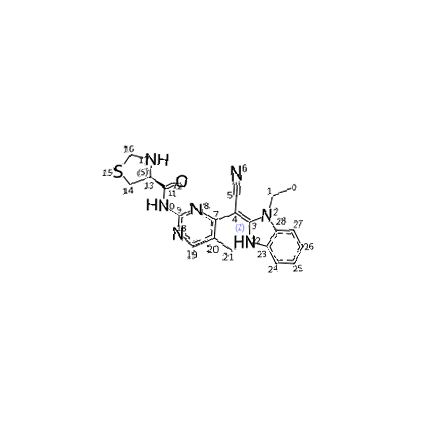 CCN1/C(=C(\C#N)c2nc(NC(=O)[C@H]3CSCN3)ncc2C)Nc2ccccc21